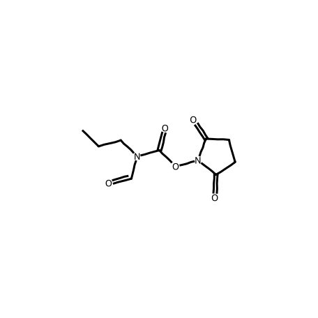 CCCN(C=O)C(=O)ON1C(=O)CCC1=O